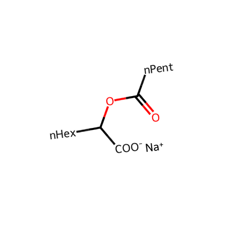 CCCCCCC(OC(=O)CCCCC)C(=O)[O-].[Na+]